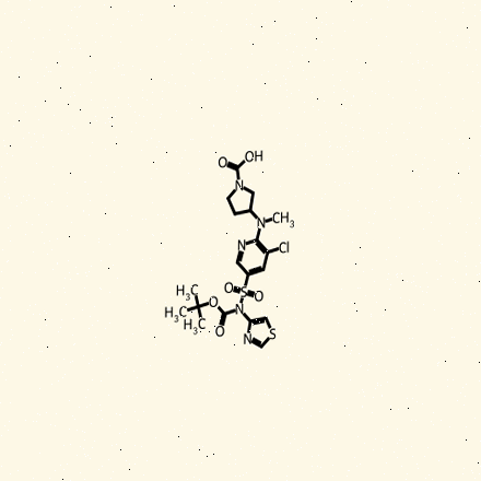 CN(c1ncc(S(=O)(=O)N(C(=O)OC(C)(C)C)c2cscn2)cc1Cl)C1CCN(C(=O)O)C1